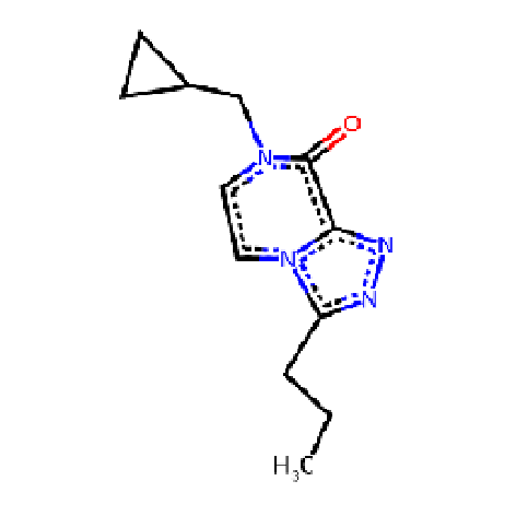 CCCc1nnc2c(=O)n(CC3CC3)ccn12